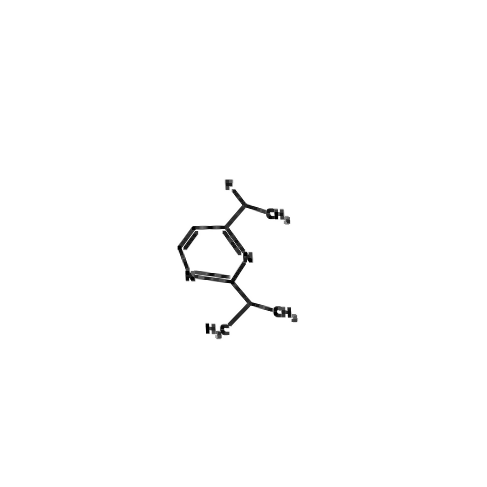 CC(C)c1nccc(C(C)F)n1